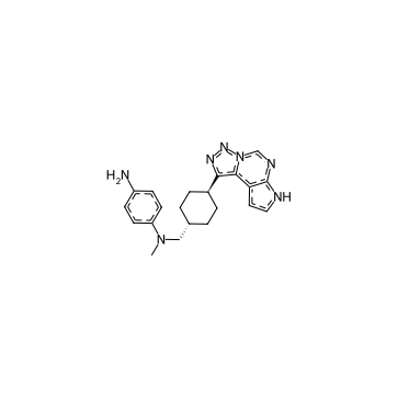 CN(C[C@H]1CC[C@H](c2nnn3cnc4[nH]ccc4c23)CC1)c1ccc(N)cc1